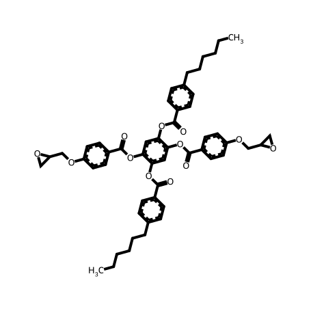 CCCCCCc1ccc(C(=O)Oc2cc(OC(=O)c3ccc(OCC4CO4)cc3)c(OC(=O)c3ccc(CCCCCC)cc3)cc2OC(=O)c2ccc(OCC3CO3)cc2)cc1